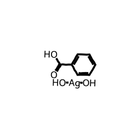 O=C(O)c1ccccc1.[OH][Ag][OH]